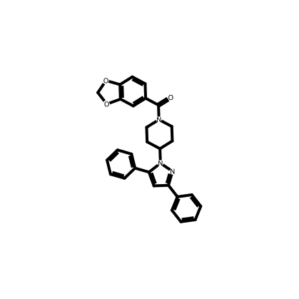 O=C(c1ccc2c(c1)OCO2)N1CCC(n2nc(-c3ccccc3)cc2-c2ccccc2)CC1